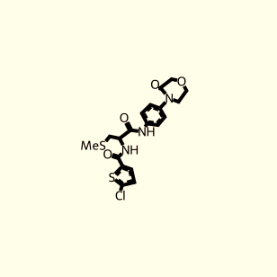 CSCC(NC(=O)c1ccc(Cl)s1)C(=O)Nc1ccc(N2CCOCC2=O)cc1